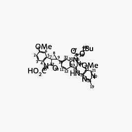 COc1ccc2c(c1)[C@]1(C[C@H]1c1ccc3c(Nc4nc(C)ncc4OC)nn(C(=O)OC(C)(C)C)c3c1)C(=O)N2C(=O)O